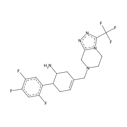 NC1CC(CN2CCn3c(nnc3C(F)(F)F)C2)=CCC1c1cc(F)c(F)cc1F